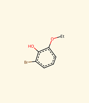 CCOc1cccc(Br)c1O